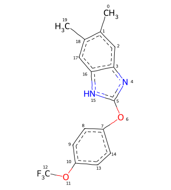 Cc1cc2nc(Oc3ccc(OC(F)(F)F)cc3)[nH]c2cc1C